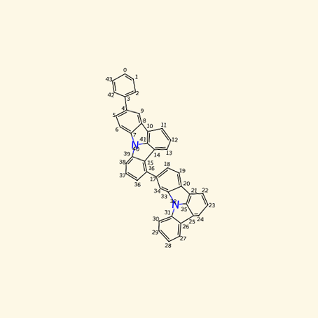 c1ccc(-c2ccc3c(c2)c2cccc4c5c(-c6ccc7c8cccc9c%10ccccc%10n(c7c6)c98)cccc5n3c24)cc1